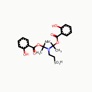 CC(=O)C(C)(OC(=O)c1ccccc1O)N(CCS(=O)(=O)O)C(C)(OC(=O)c1ccccc1O)C(C)=O